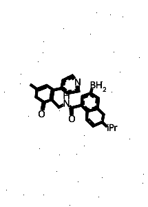 Bc1cc2c(c(C(=O)NCC3=C(c4ccncc4)C=C(C)CC3=O)c1)C=CC(C(C)C)C2